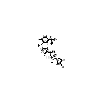 Cc1ccc(C(F)(F)F)cc1Nc1nc(C(=O)NS(=O)(=O)N2CCC(C)C2)co1